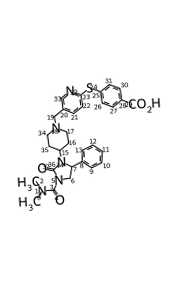 CN(C)C(=O)N1CC(c2ccccc2)N(C2CCN(Cc3ccc(Sc4ccc(C(=O)O)cc4)nc3)CC2)C1=O